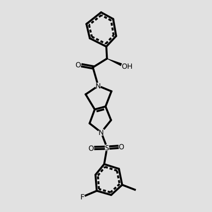 Cc1cc(F)cc(S(=O)(=O)N2CC3=C(CN(C(=O)[C@H](O)c4ccccc4)C3)C2)c1